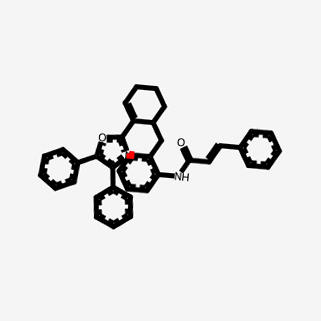 O=C(C=Cc1ccccc1)Nc1ccccc1CC1CCCC=C1c1nc(-c2ccccc2)c(-c2ccccc2)o1